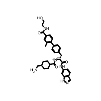 Cc1cc(C(=O)NCCO)ccc1-c1ccc(C[C@H](NC(=O)C2CCC(CN)CC2)C(=O)Nc2ccc3cn[nH]c3c2)cc1